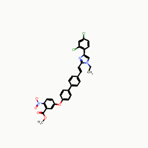 CCn1cc(-c2ccc(Cl)cc2Cl)nc1/C=C/c1ccc(-c2ccc(Oc3ccc([N+](=O)[O-])c(C(=O)OC)c3)cc2)cc1